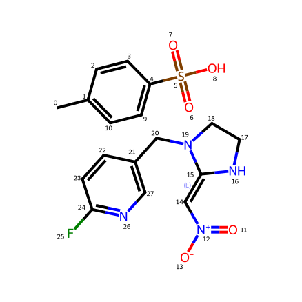 Cc1ccc(S(=O)(=O)O)cc1.O=[N+]([O-])/C=C1\NCCN1Cc1ccc(F)nc1